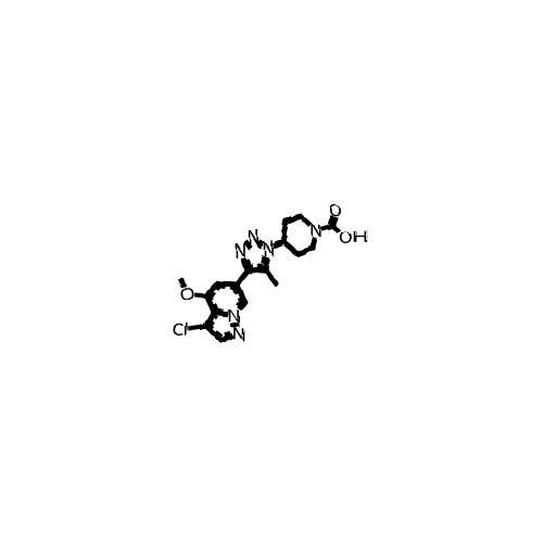 COc1cc(-c2nnn(C3CCN(C(=O)O)CC3)c2C)cn2ncc(Cl)c12